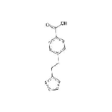 O=C(O)c1ccc(CCc2cccs2)cc1